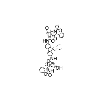 CCCCC1(CCCC)c2cc(NC(=O)[C@@H]3C[C@H](COC)CN3C(=O)C(NC(=O)OC)c3ccccc3)ccc2-c2ccc(NC(=O)[C@@H]3C[C@@H](O)CN3C(=O)[C@H](NC(=O)OC)c3ccccc3)cc21